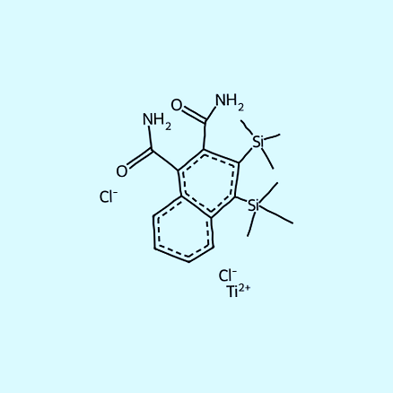 C[Si](C)(C)c1c(C(N)=O)c(C(N)=O)c2ccccc2c1[Si](C)(C)C.[Cl-].[Cl-].[Ti+2]